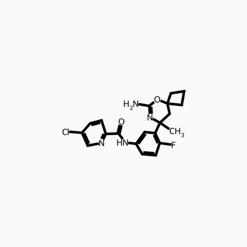 CC1(c2cc(NC(=O)c3ccc(Cl)cn3)ccc2F)CC2(CCC2)OC(N)=N1